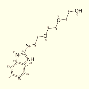 OCCOCCOCCSc1nc2ccccc2[nH]1